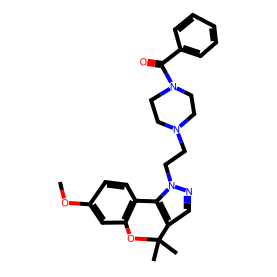 COc1ccc2c(c1)OC(C)(C)c1cnn(CCN3CCN(C(=O)c4ccccc4)CC3)c1-2